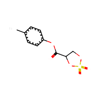 Cc1ccc(OC(=O)C2COS(=O)(=O)O2)cc1